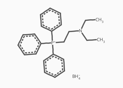 CCN(CC)CC[P+](c1ccccc1)(c1ccccc1)c1ccccc1.[BH4-]